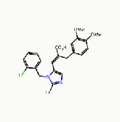 CCc1ncc(/C=C(\Cc2ccc(OC)c(OC)c2)C(=O)O)n1Cc1ccccc1Cl